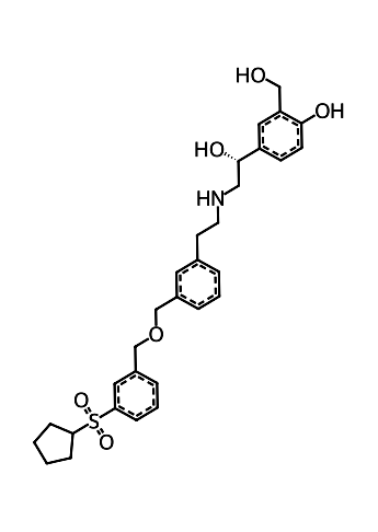 O=S(=O)(c1cccc(COCc2cccc(CCNC[C@H](O)c3ccc(O)c(CO)c3)c2)c1)C1CCCC1